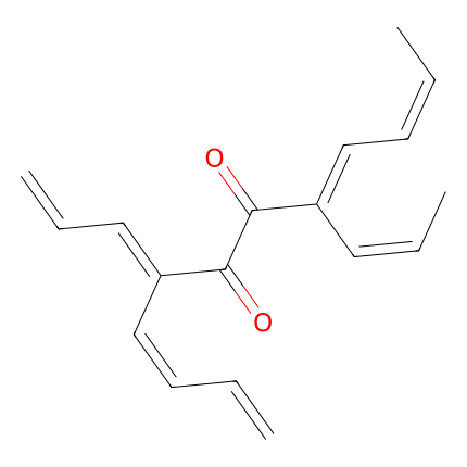 C=C/C=C\C(=C/C=C)C(=O)C(=O)C(/C=C\C)=C/C=C\C